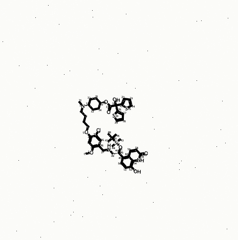 COc1cc(OCCCCN(C)[C@H]2CC[C@H](OC(=O)C(O)(c3cccs3)c3cccs3)CC2)c(Cl)cc1CNC[C@H](O[Si](C)(C)C(C)(C)C)c1ccc(O)c2[nH]c(=O)ccc12